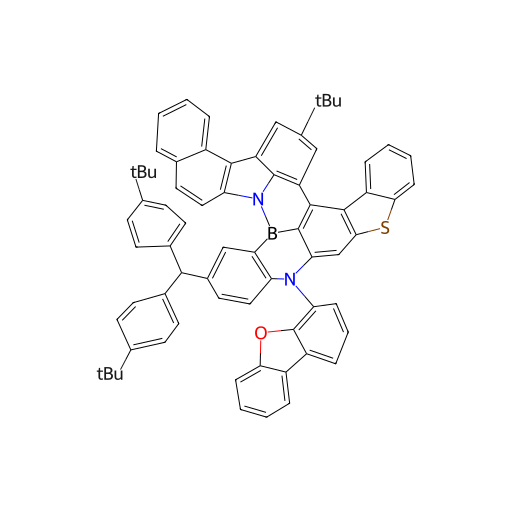 CC(C)(C)c1ccc(C(c2ccc(C(C)(C)C)cc2)c2ccc3c(c2)B2c4c(cc5sc6ccccc6c5c4-c4cc(C(C)(C)C)cc5c6c7ccccc7ccc6n2c45)N3c2cccc3c2oc2ccccc23)cc1